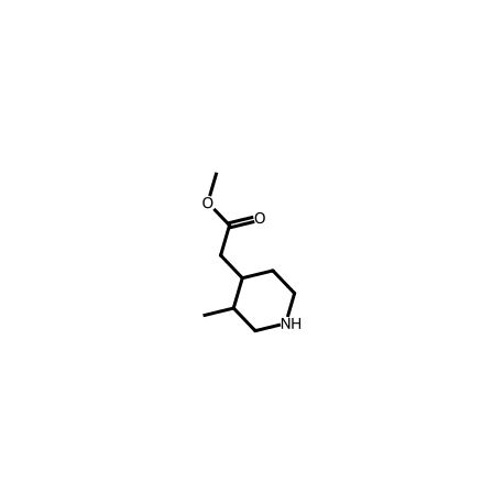 COC(=O)CC1CCNCC1C